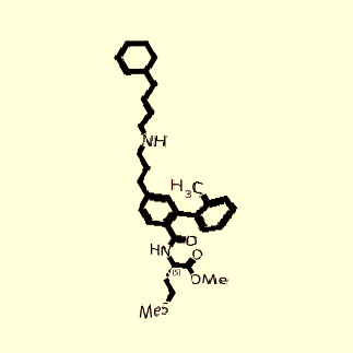 COC(=O)[C@H](CCSC)NC(=O)c1ccc(CCCNCCCCC2CCCCC2)cc1-c1ccccc1C